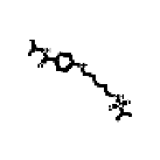 CC(C)NC(=O)c1ccc(NCCCCCNS(=O)(=O)C(C)C)cc1